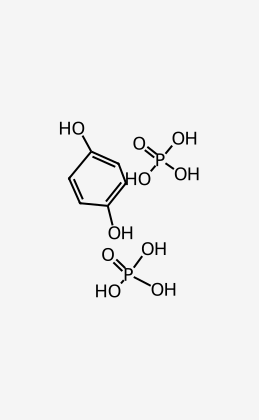 O=P(O)(O)O.O=P(O)(O)O.Oc1ccc(O)cc1